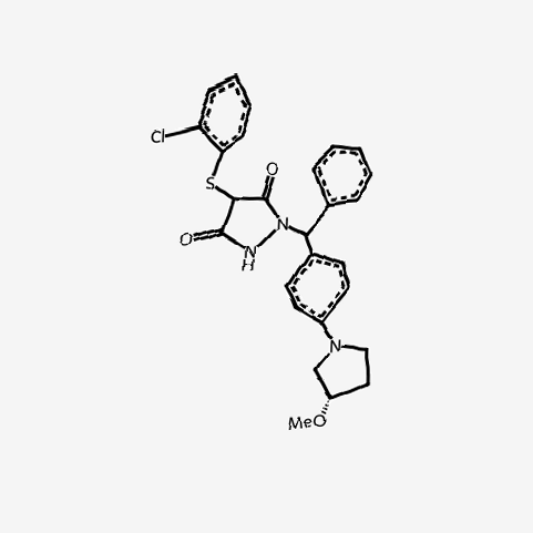 CO[C@H]1CCN(c2ccc(C(c3ccccc3)N3NC(=O)C(Sc4ccccc4Cl)C3=O)cc2)C1